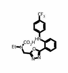 CCN(Cc1nnc(-c2ccccc2Nc2ccc(C(F)(F)F)cc2)o1)C(=O)O